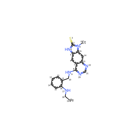 CCn1c(=S)[nH]c2cc3c(NCc4ccccc4NCC(C)C)ncnc3cc21